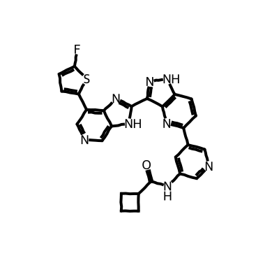 O=C(Nc1cncc(-c2ccc3[nH]nc(-c4nc5c(-c6ccc(F)s6)cncc5[nH]4)c3n2)c1)C1CCC1